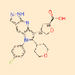 O=C(O)[C@@H]1C[C@@H](c2c(C3CCOCC3)n(-c3ccc(F)cc3)c3cc4cn[nH]c4nc23)CO1